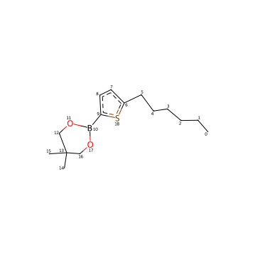 CCCCCCc1ccc(B2OCC(C)(C)CO2)s1